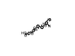 Cc1c(-c2nc3c(o2)CN(C(=O)CN2CCC(C(=O)O)C2)C3)cccc1-c1cccc(-c2nc3cc(CN4CCCC4)cc(C#N)c3o2)c1C